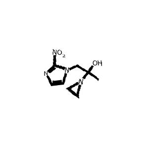 CC(O)(Cn1ccnc1[N+](=O)[O-])N1CC1